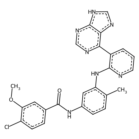 COc1cc(C(=O)Nc2ccc(C)c(Nc3ncccc3-c3ncnc4[nH]cnc34)c2)ccc1Cl